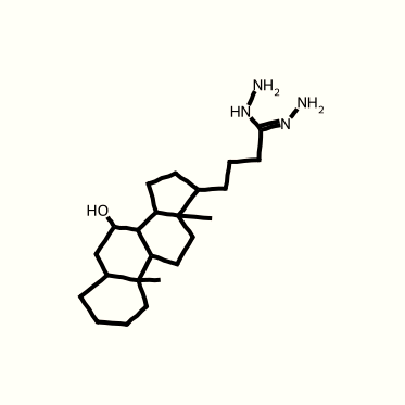 CC12CCC3C(C(O)CC4CCCCC43C)C1CCC2CCC/C(=N/N)NN